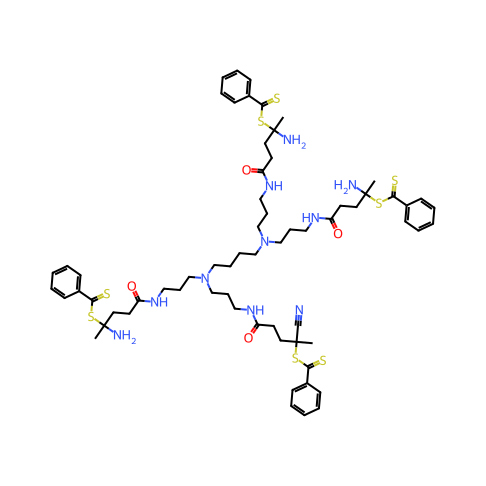 CC(N)(CCC(=O)NCCCN(CCCCN(CCCNC(=O)CCC(C)(N)SC(=S)c1ccccc1)CCCNC(=O)CCC(C)(C#N)SC(=S)c1ccccc1)CCCNC(=O)CCC(C)(N)SC(=S)c1ccccc1)SC(=S)c1ccccc1